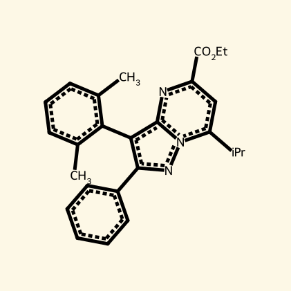 CCOC(=O)c1cc(C(C)C)n2nc(-c3ccccc3)c(-c3c(C)cccc3C)c2n1